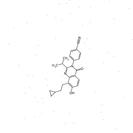 CC(C)c1nc2c(CCC3CC3)c(O)ccc2c(=O)n1-c1ccc(C#N)cc1